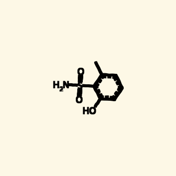 Cc1cccc(O)c1S(N)(=O)=O